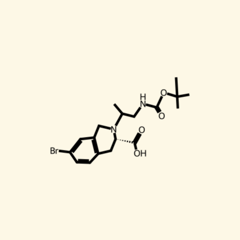 CC(CNC(=O)OC(C)(C)C)N1Cc2cc(Br)ccc2C[C@H]1C(=O)O